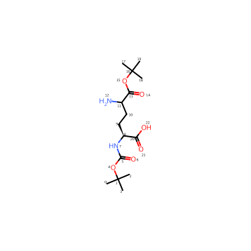 CC(C)(C)OC(=O)N[C@@H](CCC(N)C(=O)OC(C)(C)C)C(=O)O